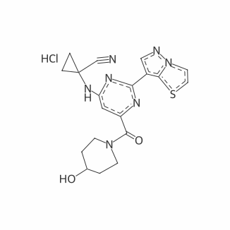 Cl.N#CC1(Nc2cc(C(=O)N3CCC(O)CC3)nc(-c3cnn4ccsc34)n2)CC1